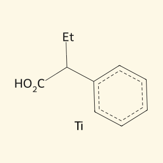 CCC(C(=O)O)c1ccccc1.[Ti]